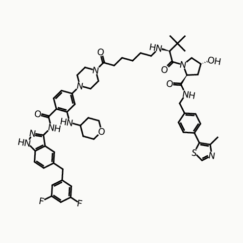 Cc1ncsc1-c1ccc(CNC(=O)[C@@H]2C[C@@H](O)CN2C(=O)[C@@H](NCCCCCC(=O)N2CCN(c3ccc(C(=O)Nc4n[nH]c5ccc(Cc6cc(F)cc(F)c6)cc45)c(NC4CCOCC4)c3)CC2)C(C)(C)C)cc1